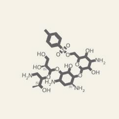 Cc1ccc(S(=O)(=O)OCC2OC(OC3C(O)C(OC(OC(CN)[C@H](C)O)[C@@H](O)CO)C(N)C[C@@H]3N)C(O)C(N)C2O)cc1